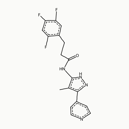 Cc1c(-c2ccncc2)n[nH]c1NC(=O)CCc1cc(F)c(F)cc1F